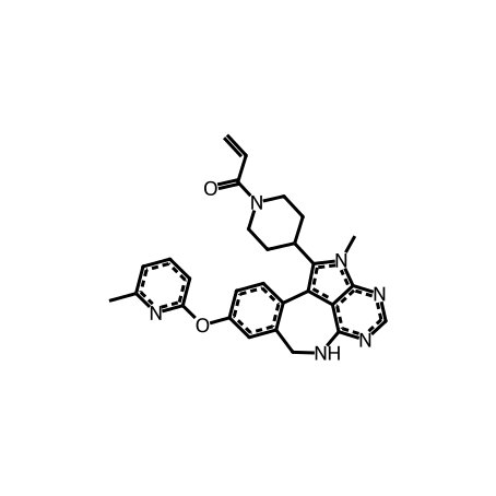 C=CC(=O)N1CCC(c2c3c4c(ncnc4n2C)NCc2cc(Oc4cccc(C)n4)ccc2-3)CC1